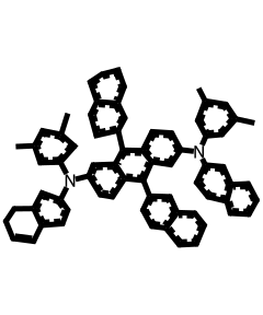 Cc1cc(C)cc(N(c2ccc3c(c2)CCC=C3)c2ccc3c(-c4ccc5ccccc5c4)c4cc(N(c5cc(C)cc(C)c5)c5ccc6ccccc6c5)ccc4c(-c4ccc5ccccc5c4)c3c2)c1